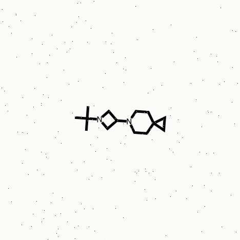 CC(C)(C)N1CC(N2CCC3(CC2)CC3)C1